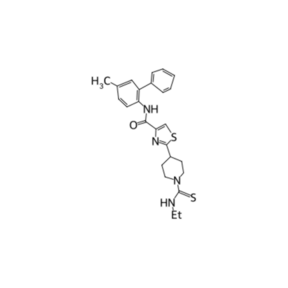 CCNC(=S)N1CCC(c2nc(C(=O)Nc3ccc(C)cc3-c3ccccc3)cs2)CC1